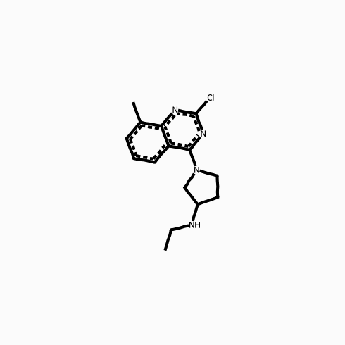 CCNC1CCN(c2nc(Cl)nc3c(C)cccc23)C1